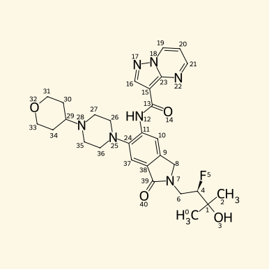 CC(C)(O)[C@H](F)CN1Cc2cc(NC(=O)c3cnn4cccnc34)c(N3CCN(C4CCOCC4)CC3)cc2C1=O